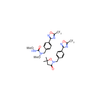 CC1(C)CC(=O)N(Cc2ccc(-c3noc(C(F)(F)F)n3)cc2)O1.CONC(=O)N(Cc1ccc(-c2noc(C(F)(F)F)n2)cc1)OC